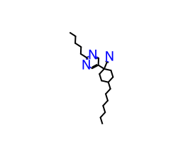 CCCCCCCC1CCC(C#N)(c2cnc(CCCCC)nc2)CC1